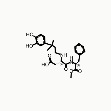 COC(=O)[C@H](Cc1ccccc1)NC(=O)[C@H](CC(=O)O)NCCC(C)(C)c1ccc(O)c(O)c1